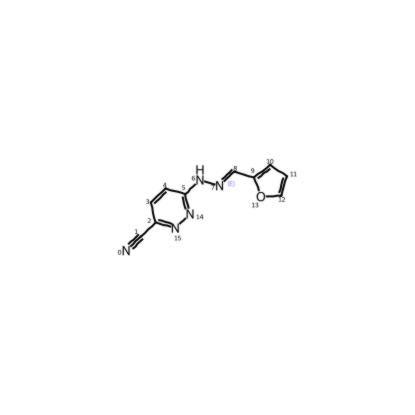 N#Cc1ccc(N/N=C/c2ccco2)nn1